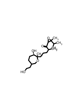 CC(CCC[C@]1(C)OCC(CCO)CC[C@H]1O)C(=O)C1OC1(C)C(C)C